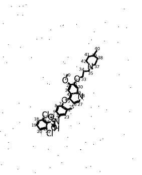 COc1cc2c(Oc3ccc(NS(=O)(=O)c4c(Cl)cccc4Cl)cc3C)ccnc2cc1OCCCN1CCC(C)CC1